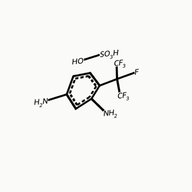 Nc1ccc(C(F)(C(F)(F)F)C(F)(F)F)c(N)c1.O=S(=O)(O)O